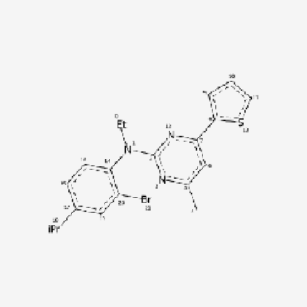 CCN(c1nc(C)cc(-c2cccs2)n1)c1ccc(C(C)C)cc1Br